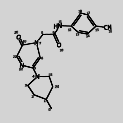 CC1CCN(c2cn(CC(=O)Nc3ccc(C#N)cc3)c(=O)cn2)CC1